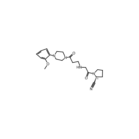 COc1ccccc1N1CCN(C(=O)CCNCC(=O)N2CCC[C@H]2C#N)CC1